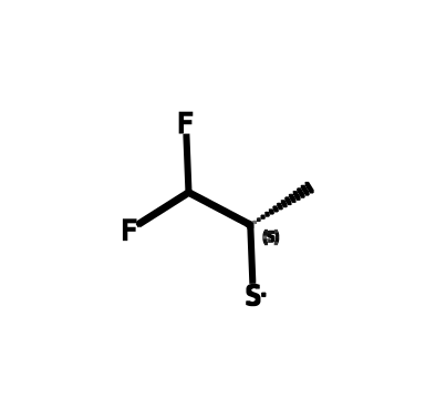 C[C@H]([S])C(F)F